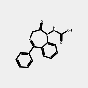 O=C(O)NN1C(=O)CN=C(c2ccccc2)c2ccccc21